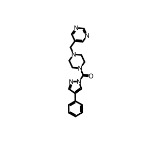 O=C(N1CCN(Cc2cncnc2)CC1)n1cc(-c2ccccc2)cn1